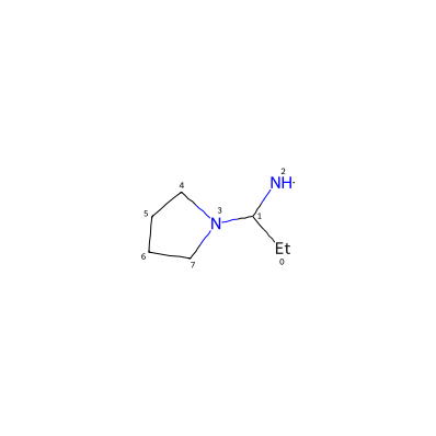 CCC([NH])N1CCCC1